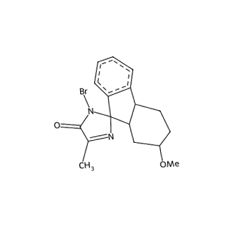 COC1CCC2c3ccccc3C3(N=C(C)C(=O)N3Br)C2C1